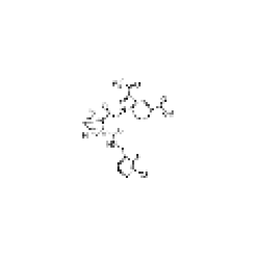 CC(=O)c1cn(CC(=O)N2[C@@H]3C[C@@H]3C[C@H]2C(=O)NCc2cccc(Cl)c2F)c2ccc(C(=O)O)cc12